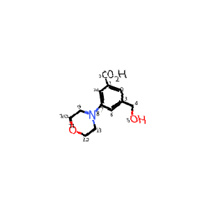 O=C(O)c1cc(CO)cc(N2CCOCC2)c1